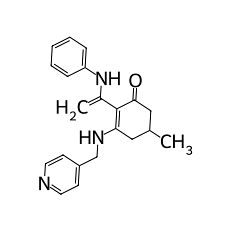 C=C(Nc1ccccc1)C1=C(NCc2ccncc2)CC(C)CC1=O